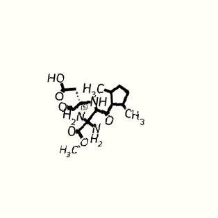 COC(=O)C(N)(N)C(N[C@H](C=O)CC(=O)O)C(=O)C1C(C)CCC1C